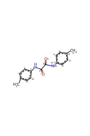 Cc1ccc(NC(=O)C(=O)Nc2ccc(C)cc2)cc1